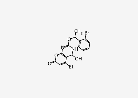 CCc1cc(=O)oc2c1C(O)NC(O[C@@H](C)c1ccccc1Br)=N2